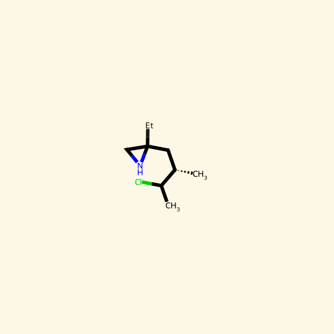 CCC1(C[C@H](C)C(C)Cl)CN1